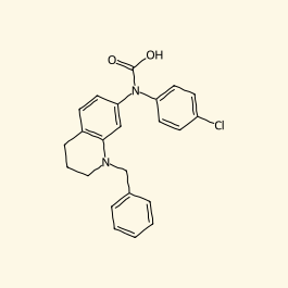 O=C(O)N(c1ccc(Cl)cc1)c1ccc2c(c1)N(Cc1ccccc1)CCC2